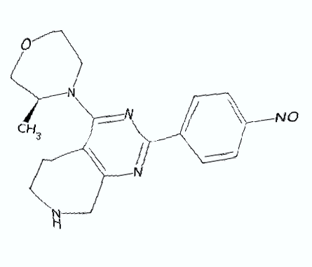 C[C@H]1COCCN1c1nc(-c2ccc(N=O)cc2)nc2c1CCNC2